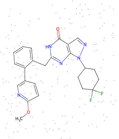 COc1ccc(-c2ccccc2Cc2nc3c(cnn3C3CCC(F)(F)CC3)c(=O)[nH]2)cn1